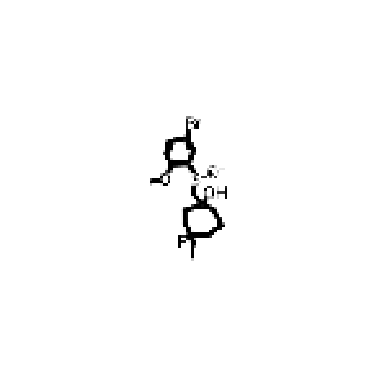 COc1ccc(Br)cc1[S+]([O-])CC1(O)CCCC(F)(F)CC1